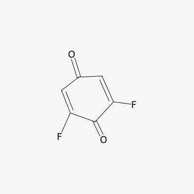 O=C1C=C(F)C(=O)C(F)=C1